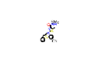 CSNC(=O)c1nc(N(Cc2cc3ccccc3s2)c2ccc(C#N)cc2)sc1C